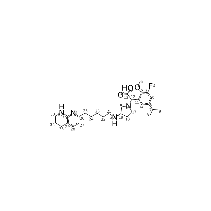 COc1c(F)cc(C(C)C)cc1C(C(=O)O)N1CC[C@@H](NCCCCCc2ccc3c(n2)NCCC3)C1